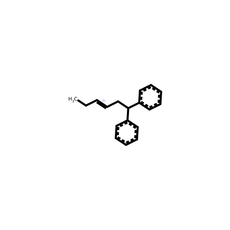 CC/C=C/CC(c1ccccc1)c1ccccc1